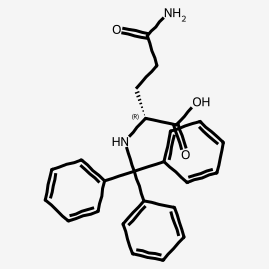 NC(=O)CC[C@@H](NC(c1ccccc1)(c1ccccc1)c1ccccc1)C(=O)O